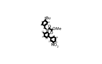 COC(=O)C(=O)N(Cc1ccc(C(C)(C)C)cc1)c1cc(-c2cccc([N+](=O)[O-])c2)ccc1C